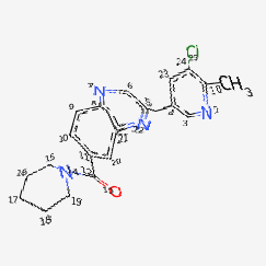 Cc1ncc(-c2cnc3ccc(C(=O)N4CCCCC4)cc3n2)cc1Cl